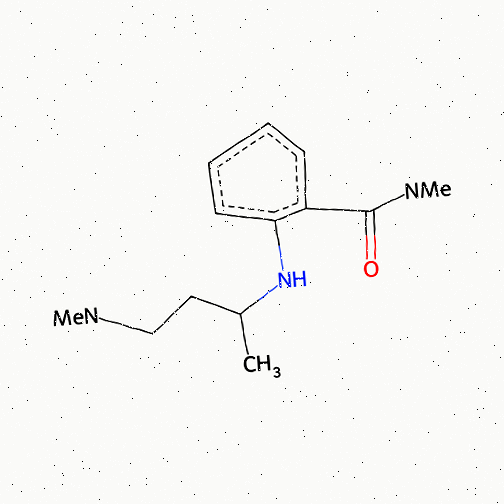 CNCCC(C)Nc1ccccc1C(=O)NC